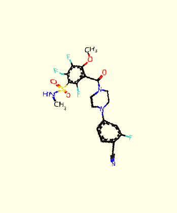 CNS(=O)(=O)c1c(F)c(F)c(OC)c(C(=O)N2CCN(c3ccc(C#N)c(F)c3)CC2)c1F